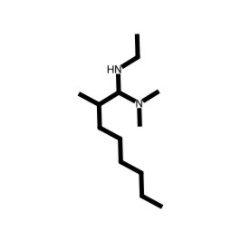 CCCCCCC(C)C(NCC)N(C)C